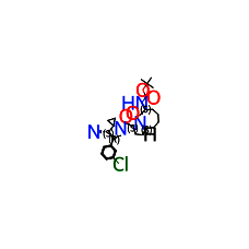 CC(C)(C)OC(=O)N[C@H]1CCCC[C@H]2CC[C@@H](C(=O)N3C[C@@H](c4cccc(Cl)c4)[C@H](C#N)C34CC4)N2C1=O